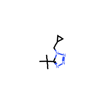 CC(C)(C)c1nnnn1CC1CC1